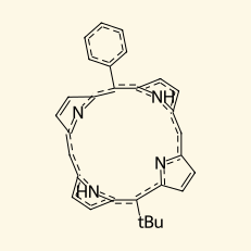 CC(C)(C)c1c2nc(cc3ccc([nH]3)c(-c3ccccc3)c3nc(cc4ccc1[nH]4)C=C3)C=C2